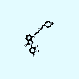 O=C1CCC(N2Cc3c(SCCOCCN4CCNCC4)cccc3C2=O)C(=O)N1